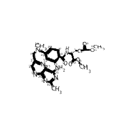 COC(=O)CC[C@@H](NC(=O)c1ccc(N(C)Cc2cnc3nc(C)nc(N)c3n2)cc1)C(=O)OC